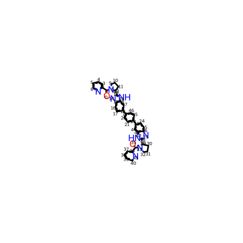 O=C(c1ccccn1)N1CCC[C@H]1c1nc2ccc(-c3ccc(-c4ccc5nc([C@@H]6CCCN6C(=O)c6ccccn6)[nH]c5c4)cc3)cc2[nH]1